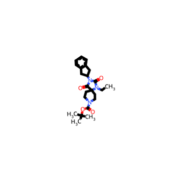 CCN1C(=O)N(C2Cc3ccccc3C2)C(=O)C12CCN(C(=O)OC(C)(C)C)CC2